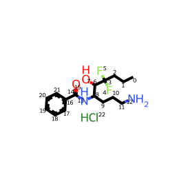 CCCC(F)(F)C(O)C(CCCN)NC(=O)c1ccccc1.Cl